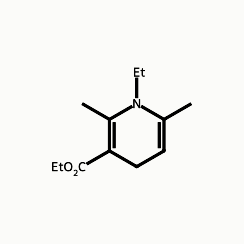 CCOC(=O)C1=C(C)N(CC)C(C)=CC1